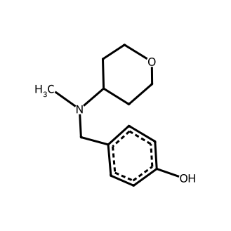 CN(Cc1ccc(O)cc1)C1CCOCC1